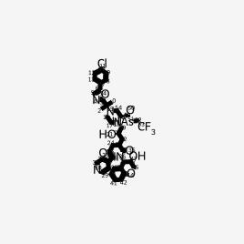 CC(C)(c1ncc(-c2ccc(Cl)cc2)o1)N1CCN(C[C@@H](O)CC(Cc2cc3ccncc3o2)C(=O)N[C@H]2c3ccccc3OC[C@H]2O)[C@H](C(=O)[AsH]CC(F)(F)F)C1